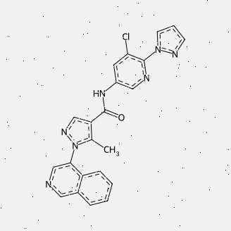 Cc1c(C(=O)Nc2cnc(-n3cccn3)c(Cl)c2)cnn1-c1cncc2ccccc12